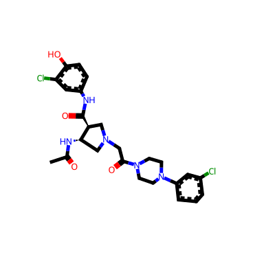 CC(=O)N[C@H]1CN(CC(=O)N2CCN(c3cccc(Cl)c3)CC2)C[C@@H]1C(=O)Nc1ccc(O)c(Cl)c1